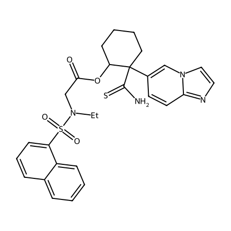 CCN(CC(=O)OC1CCCCC1(C(N)=S)c1ccc2nccn2c1)S(=O)(=O)c1cccc2ccccc12